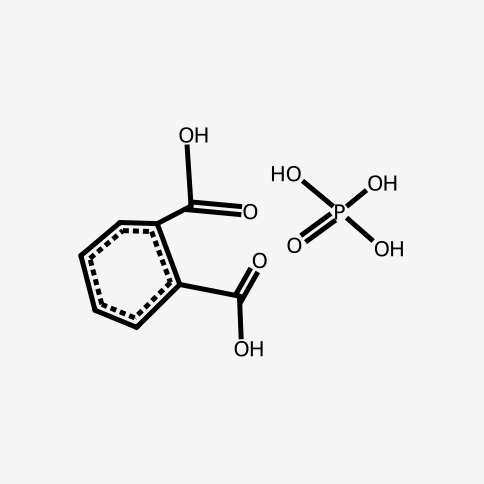 O=C(O)c1ccccc1C(=O)O.O=P(O)(O)O